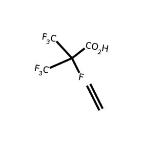 C=C.O=C(O)C(F)(C(F)(F)F)C(F)(F)F